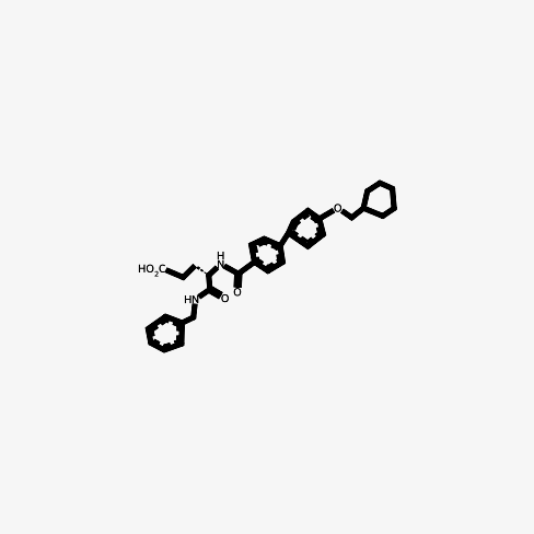 O=C(O)CC[C@H](NC(=O)c1ccc(-c2ccc(OCC3CCCCC3)cc2)cc1)C(=O)NCc1ccccc1